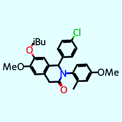 CCC(C)Oc1cc2c(cc1OC)CC(=O)N(c1ccc(OC)cc1C)C2c1ccc(Cl)cc1